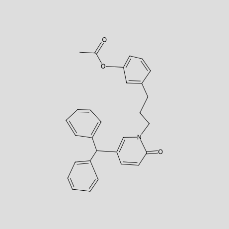 CC(=O)Oc1cccc(CCCn2cc(C(c3ccccc3)c3ccccc3)ccc2=O)c1